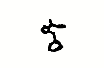 CC(C#N)c1nccn1Cc1ccccc1